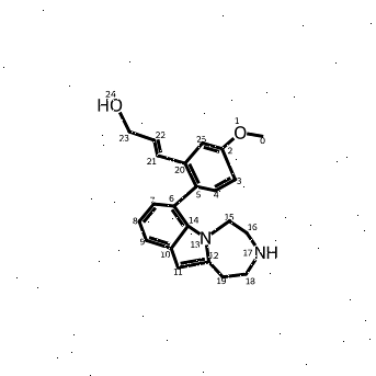 COc1ccc(-c2cccc3cc4n(c23)CCNCC4)c(C=CCO)c1